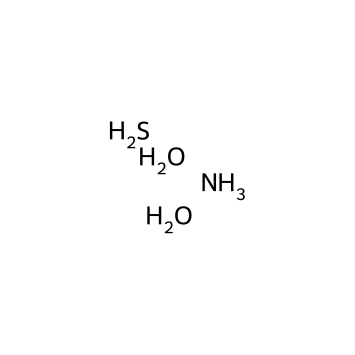 N.O.O.S